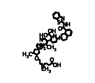 C/C(NCC1(C)CC(C)C(OCCN(C)CCC(=O)O)C1)=C(/C=N)c1ccc(N2CCc3cccc(C(=O)Nc4nc5ccccc5s4)c3C2)nc1C(=O)O